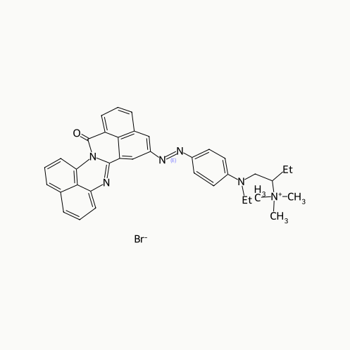 CCC(CN(CC)c1ccc(/N=N/c2cc3cccc4c(=O)n5c6cccc7cccc(nc5c(c2)c34)c76)cc1)[N+](C)(C)C.[Br-]